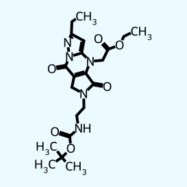 CCOC(=O)Cn1c2c(c(=O)n3nc(CC)cc13)CN(CCNC(=O)OC(C)(C)C)C2=O